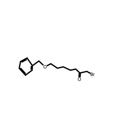 O=C(CBr)CCCCCOCc1ccccc1